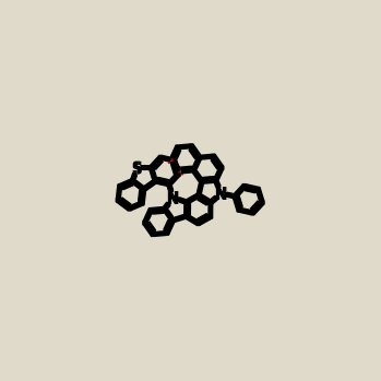 c1ccc(-n2c3ccc4ccccc4c3c3c2ccc2c4ccccc4n(-c4cccc5sc6ccccc6c45)c23)cc1